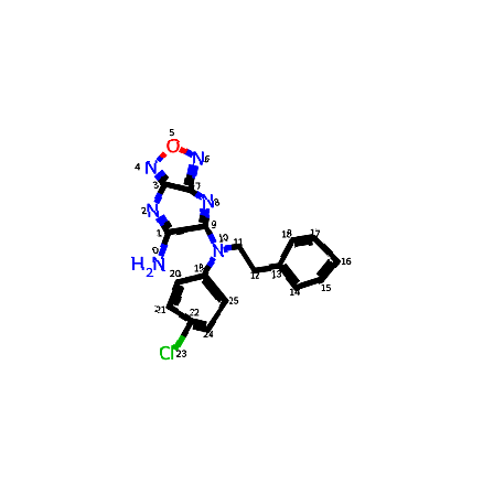 Nc1nc2nonc2nc1N(CCc1ccccc1)c1ccc(Cl)cc1